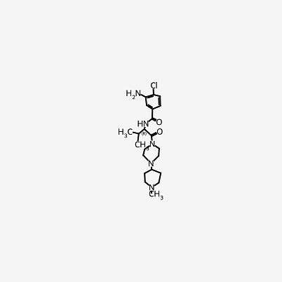 CC(C)[C@@H](NC(=O)c1ccc(Cl)c(N)c1)C(=O)N1CCN(C2CCN(C)CC2)CC1